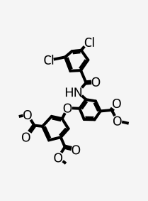 COC(=O)c1cc(Oc2ccc(C(=O)OC)cc2NC(=O)c2cc(Cl)cc(Cl)c2)cc(C(=O)OC)c1